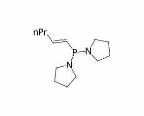 CCCC=CP(N1CCCC1)N1CCCC1